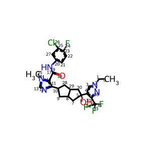 CCn1cc(C2(O)CC3CC(c4ncn(C)c4C(=O)Nc4ccc(F)c(Cl)c4)CC3C2)c(C(F)(F)F)n1